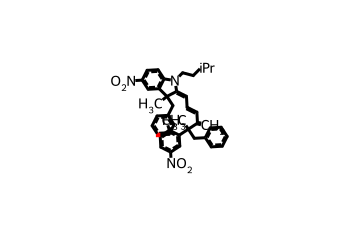 C=C(/C=C/C=C1/N(CCC(C)C)c2ccc([N+](=O)[O-])cc2C1(C)Cc1ccccc1)C(C)(Cc1ccccc1)c1cc([N+](=O)[O-])ccc1C